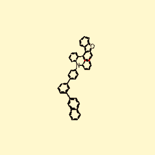 c1ccc(N(c2ccc(-c3cccc(-c4ccc5ccccc5c4)c3)cc2)c2ccccc2-c2cccc3oc4ccccc4c23)cc1